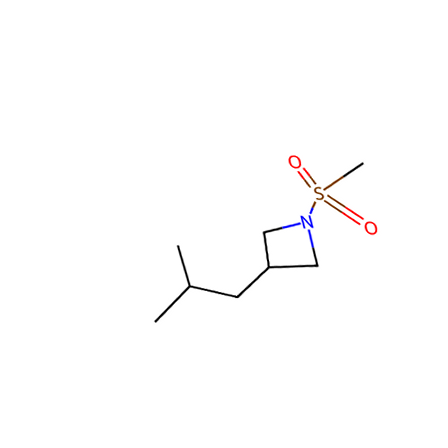 CC(C)CC1CN(S(C)(=O)=O)C1